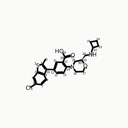 Cc1sc2cc(Cl)ccc2c1-c1ccc(N2CCO[C@H](CNC3CCC3)C2)c(C(=O)O)c1